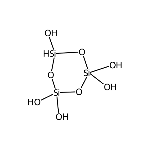 O[SiH]1O[Si](O)(O)O[Si](O)(O)O1